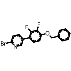 Fc1c(OCc2ccccc2)ccc(-c2ccc(Br)nc2)c1F